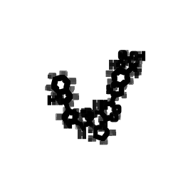 CC(C)(C)C(NC(=O)c1cc2cc(C(F)(F)P(=O)(O)O)ccc2s1)C(=O)N1CCC[C@H]1C(=O)Nc1ncc(-c2cc3ccccc3[nH]2)s1